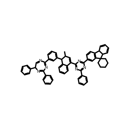 CC1C=C(c2nc(-c3ccccc3)nc(-c3ccc4c(c3)C3(CCCCC3)C3C=CC=CC43)n2)c2ccccc2C1c1cccc(C2=NC(c3ccccc3)=NC(c3ccccc3)C=N2)c1